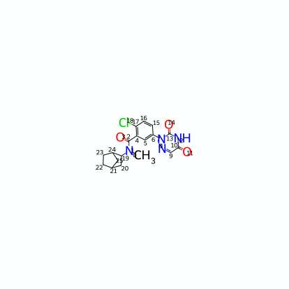 CN(C(=O)c1cc(-n2ncc(=O)[nH]c2=O)ccc1Cl)C1CC2CCC1C2